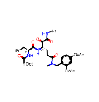 CCCCCCCCC(=O)N[C@@H](CC(C)C)C(=O)N[C@@H](CCC(=O)N(C)Cc1ccc(OC)cc1OC)C(=O)C(=O)NC(C)C